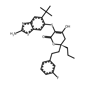 CCC[C@]1(CCc2cccc(F)c2)CC(O)=C(Sc2cc3sc(N)nc3cc2C(C)(C)C)C(=O)O1